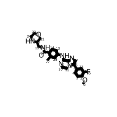 COc1ccc(-c2cnc3c(Nc4ccc(C(=O)NCC5COCCN5)c(C)c4)nccn23)cc1F